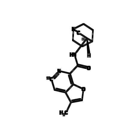 Cc1coc2c(C(=O)N[C@@H]3CN4CCC3CC4)n[13cH]cc12